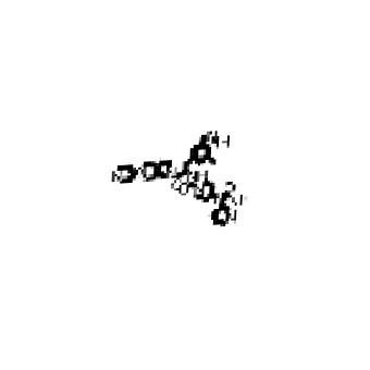 Cc1cc(CC(NC(=O)N2CCC(n3c(=O)[nH]c4ncccc43)CC2)C(=O)N2CCC3(CCN(c4ccncc4)CC3)C2)cc2cn[nH]c12